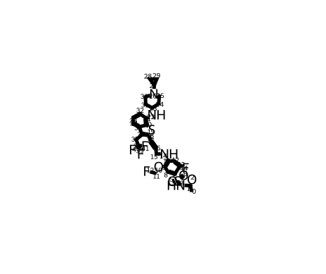 CC(=O)NS(=O)(=O)c1cc(OCF)c(NCC#Cc2sc3c(NC4CCN(C5CC5)CC4)cccc3c2CC(F)(F)F)cc1F